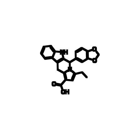 CCc1cc(C(=O)O)c2n1C(c1ccc3c(c1)OCO3)c1[nH]c3ccccc3c1C2